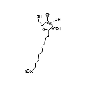 CCCCCCCCCCCCCCCCCCSC1O[C@H](CO)[C@@H](O)[C@H](O)[C@H]1O